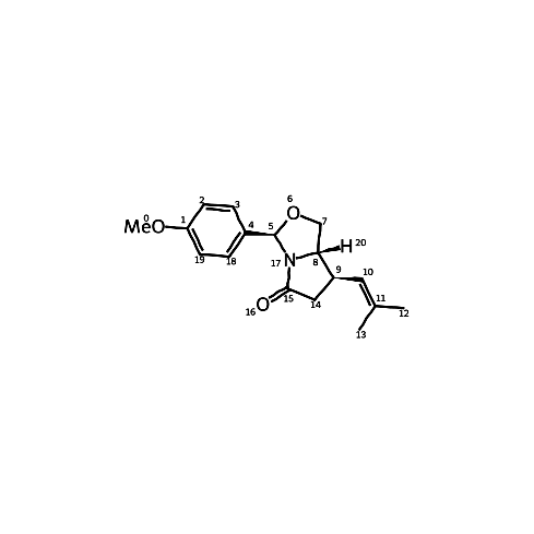 COc1ccc([C@H]2OC[C@@H]3[C@@H](C=C(C)C)CC(=O)N23)cc1